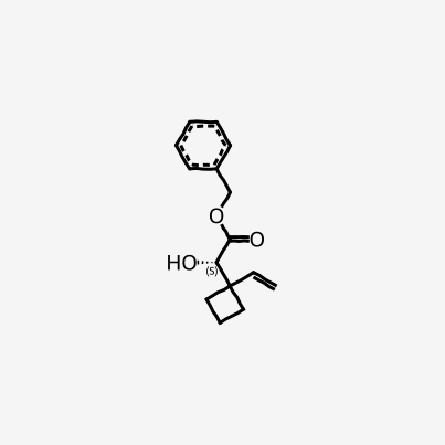 C=CC1([C@H](O)C(=O)OCc2ccccc2)CCC1